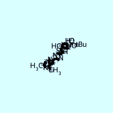 Cc1cn2nc(-c3cnc4cc([C@@]5(O)C[C@@H]6C[C@H]5CN6C(=O)OC(C)(C)C)sc4n3)cc2c(C)n1